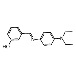 CCN(CC)c1ccc(/N=C/c2cccc(O)c2)cc1